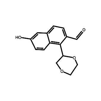 O=Cc1ccc2cc(O)ccc2c1C1COCCO1